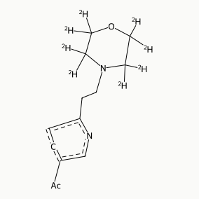 [2H]C1([2H])OC([2H])([2H])C([2H])([2H])N(CCc2ccc(C(C)=O)cn2)C1([2H])[2H]